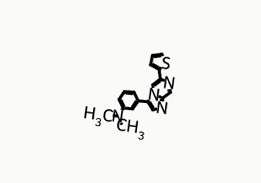 CN(C)c1cccc(-c2cnc3cnc(-c4cccs4)cn23)c1